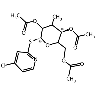 CC(=O)OCC1O[C@H](Sc2cc(Cl)ccn2)C(OC(C)=O)C(C)[C@H]1OC(C)=O